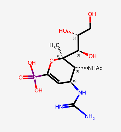 CC(=O)N[C@@H]1[C@@H](NC(=N)N)C=C(P(=O)(O)O)O[C@@]1(C)[C@H](O)[C@H](O)CO